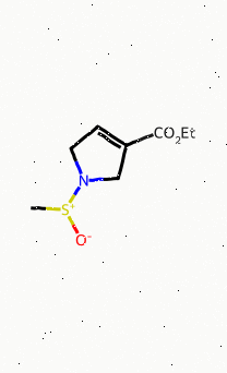 CCOC(=O)C1=CCN([S+](C)[O-])C1